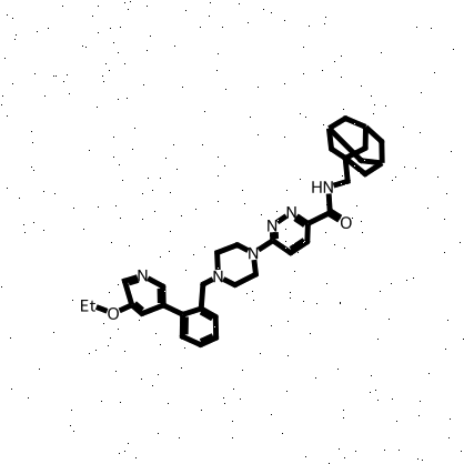 CCOc1cncc(-c2ccccc2CN2CCN(c3ccc(C(=O)NCC45CC6CC(CC(C6)C4)C5)nn3)CC2)c1